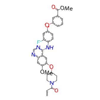 C=CC(=O)N1CCC(Oc2cc3c(Nc4ccc(Oc5cccc(C(=O)OC)c5)cc4F)ncnc3cc2OC)CC1